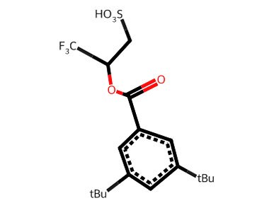 CC(C)(C)c1cc(C(=O)OC(CS(=O)(=O)O)C(F)(F)F)cc(C(C)(C)C)c1